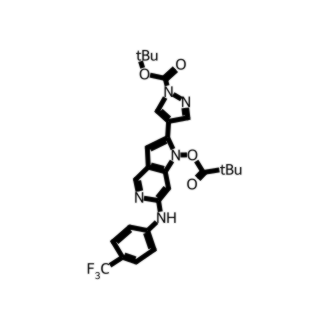 CC(C)(C)OC(=O)n1cc(-c2cc3cnc(Nc4ccc(C(F)(F)F)cc4)cc3n2OC(=O)C(C)(C)C)cn1